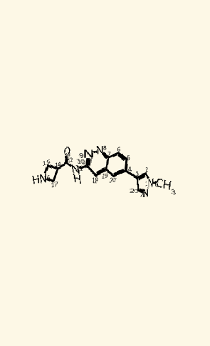 Cn1cc(-c2ccc3nnc(NC(=O)C4CNC4)cc3c2)cn1